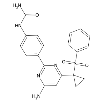 NC(=O)Nc1ccc(-c2nc(N)cc(C3(S(=O)(=O)c4ccccc4)CC3)n2)cc1